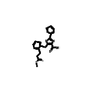 COC(=O)CCc1ccccc1Cc1oc(-c2ccccc2)nc1C(=O)O